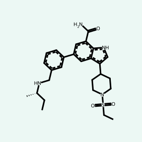 CC[C@H](C)NCc1cccc(-c2cc(C(N)=O)c3[nH]cc(C4CCN(S(=O)(=O)CC)CC4)c3c2)c1